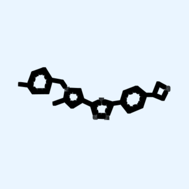 Cc1ccc(Cn2cc(-c3nc(-c4ccc(C5COC5)cc4)no3)cc2C)cc1